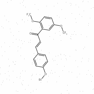 CCOc1ccc(C=CC(=O)c2cc(OC(F)(F)F)ccc2OC(F)(F)F)cc1